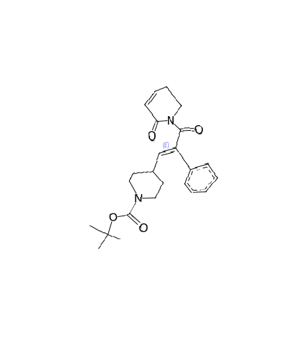 CC(C)(C)OC(=O)N1CCC(/C=C(/C(=O)N2CCC=CC2=O)c2ccccc2)CC1